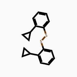 c1ccc(C2CC2)c(SSc2ccccc2C2CC2)c1